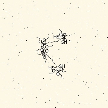 CCO[Si](CCCCCC(S)(S)[Si](OCC)(OCC)OCC)(OCC)O[Si](OCC)(OCC)O[Si](CCCCCC(S)(S)[Si](OCC)(OCC)OCC)(OCC)OCC